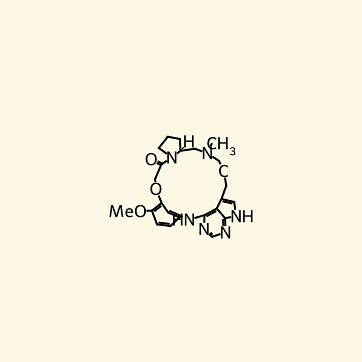 COc1ccc2cc1OCC(=O)N1CCC[C@H]1CN(C)CCCc1c[nH]c3ncnc(c13)N2